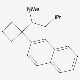 CNC(CC(C)C)C1(c2ccc3ccccc3c2)CCC1